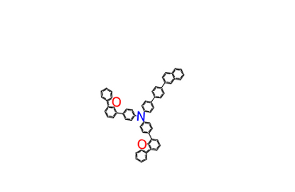 c1ccc2cc(-c3ccc(-c4ccc(N(c5ccc(-c6cccc7c6oc6ccccc67)cc5)c5ccc(-c6cccc7c6oc6ccccc67)cc5)cc4)cc3)ccc2c1